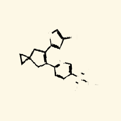 Cc1csc(C2=C(c3ccc(S(C)(=O)=O)cn3)CC3(CC3)C2)c1